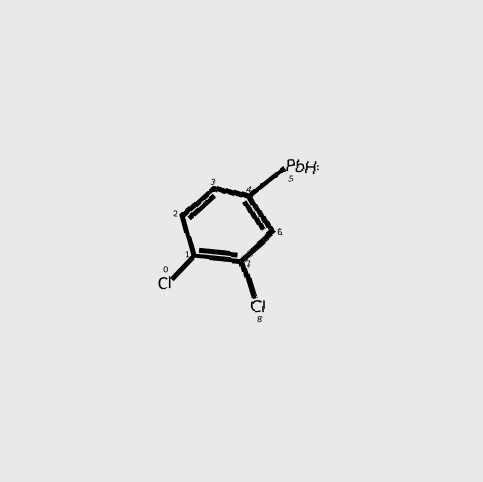 Clc1cc[c]([PbH])cc1Cl